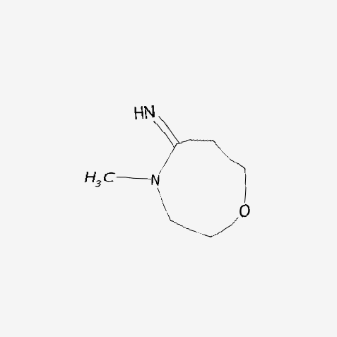 CN1CCOCCC1=N